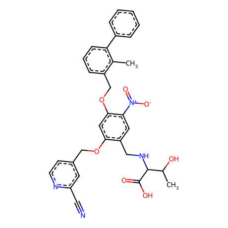 Cc1c(COc2cc(OCc3ccnc(C#N)c3)c(CNC(C(=O)O)C(C)O)cc2[N+](=O)[O-])cccc1-c1ccccc1